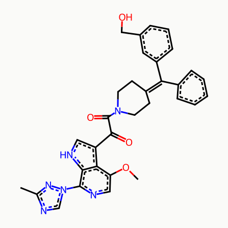 COc1cnc(-n2cnc(C)n2)c2[nH]cc(C(=O)C(=O)N3CCC(=C(c4ccccc4)c4cccc(CO)c4)CC3)c12